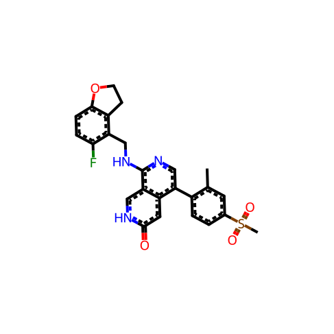 Cc1cc(S(C)(=O)=O)ccc1-c1cnc(NCc2c(F)ccc3c2CCO3)c2c[nH]c(=O)cc12